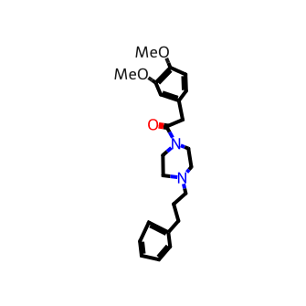 COc1ccc(CC(=O)N2CCN(CCCc3ccccc3)CC2)cc1OC